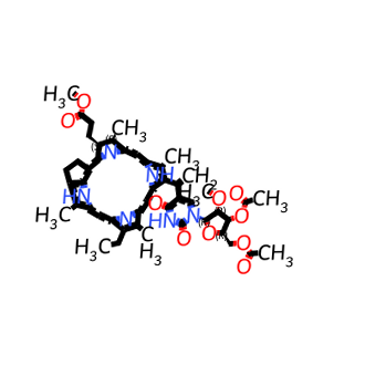 C=C(c1cn([C@@H]2O[C@H](COC(C)=O)C(OC(C)=O)[C@H]2OC)c(=O)[nH]c1=O)c1c(C)c2cc3nc(c4c5[nH]c(cc6nc(cc1[nH]2)C(C)=C6CC)c(C)c5CC4)[C@@H](CCC(=O)OC)[C@@H]3C